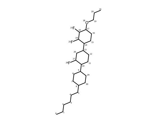 CCCCCCC1CCC(C2CCC(C3CCC(OCCC)C(F)C3F)CC2F)CC1